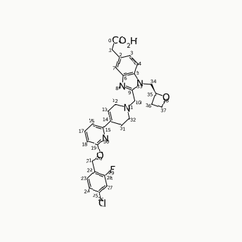 O=C(O)Cc1ccc2c(c1)nc(CN1CC=C(c3cccc(OCc4ccc(Cl)cc4F)n3)CC1)n2C[C@@H]1CCO1